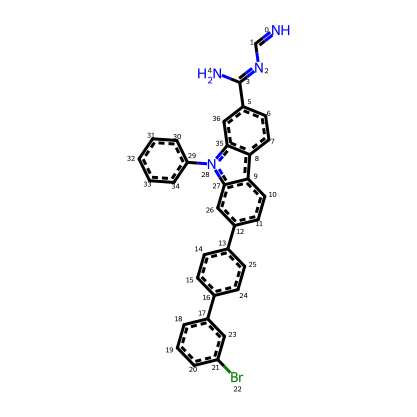 N=C/N=C(\N)c1ccc2c3ccc(-c4ccc(-c5cccc(Br)c5)cc4)cc3n(-c3ccccc3)c2c1